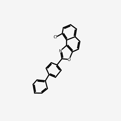 Clc1cccc2ccc3oc(-c4ccc(-c5ccccc5)cc4)nc3c12